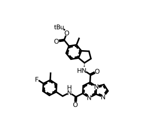 Cc1cc(CNC(=O)c2cc(C(=O)N[C@H]3CCc4c3ccc(C(=O)OC(C)(C)C)c4C)n3ccnc3n2)ccc1F